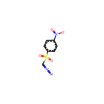 [N-]=[N+]=CS(=O)(=O)c1ccc([N+](=O)[O-])cc1